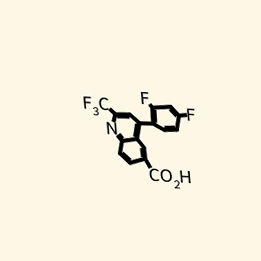 O=C(O)c1ccc2nc(C(F)(F)F)cc(-c3ccc(F)cc3F)c2c1